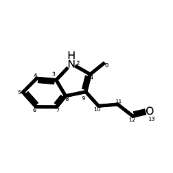 Cc1[nH]c2ccccc2c1CCC=O